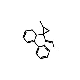 CCC=CC1(C2CC=CC=C2c2ccccn2)CC1C